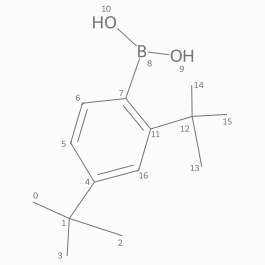 CC(C)(C)c1ccc(B(O)O)c(C(C)(C)C)c1